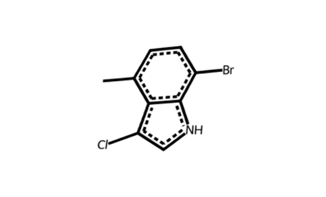 Cc1ccc(Br)c2[nH]cc(Cl)c12